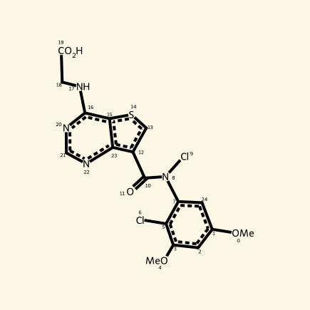 COc1cc(OC)c(Cl)c(N(Cl)C(=O)c2csc3c(NCC(=O)O)ncnc23)c1